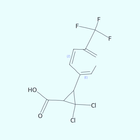 C=C(/C=C\C(=C/C)C1C(C(=O)O)C1(Cl)Cl)C(F)(F)F